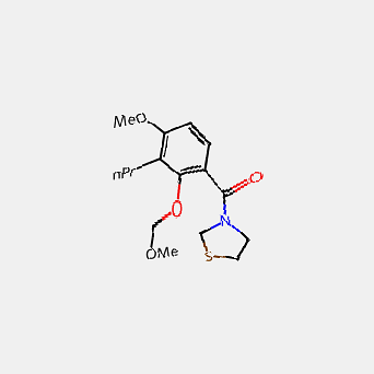 CCCc1c(OC)ccc(C(=O)N2CCSC2)c1OCOC